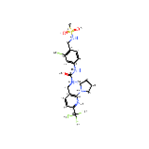 CS(=O)(=O)NCc1ccc(NC(=O)NCc2ccc(C(F)(F)F)nc2N2CCCC2)cc1F